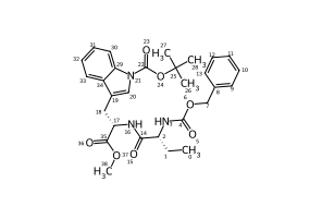 CC[C@@H](NC(=O)OCc1ccccc1)C(=O)N[C@@H](Cc1cn(C(=O)OC(C)(C)C)c2ccccc12)C(=O)OC